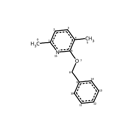 Cc1ccc(C)c(OCc2ccccc2)n1